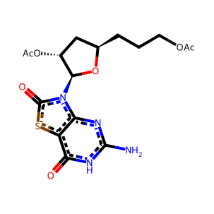 CC(=O)OCCC[C@@H]1C[C@@H](OC(C)=O)[C@H](n2c(=O)sc3c(=O)[nH]c(N)nc32)O1